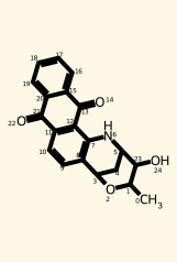 CC1OC2CC(Nc3c2ccc2c3C(=O)c3ccccc3C2=O)C1O